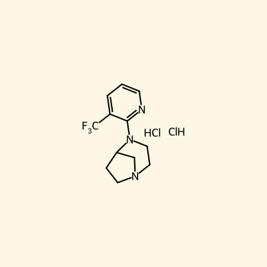 Cl.Cl.FC(F)(F)c1cccnc1N1CCN2CCC1C2